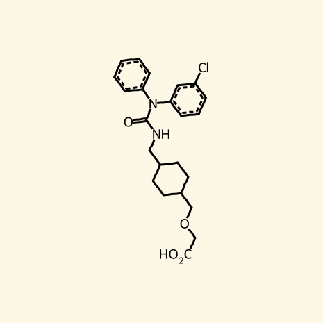 O=C(O)COCC1CCC(CNC(=O)N(c2ccccc2)c2cccc(Cl)c2)CC1